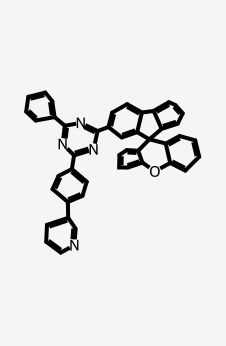 c1ccc(-c2nc(-c3ccc(-c4cccnc4)cc3)nc(-c3ccc4c(c3)C3(c5ccccc5Oc5ccccc53)c3ccccc3-4)n2)cc1